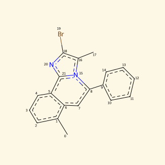 Cc1cccc2c1cc(-c1ccccc1)n1c(C)c(Br)nc21